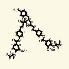 COc1cc(C(=O)Oc2ccc(/C=C/C(=O)CC(Cc3ccc(N)cc3)C(O)(O)C(=O)/C=C/c3ccc(OC(=O)c4ccc(OC(F)(F)C(F)F)c(OC)c4)cc3)cc2)ccc1OC(F)(F)C(F)F